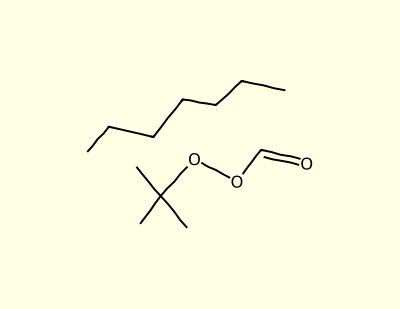 CC(C)(C)OOC=O.CCCCCCC